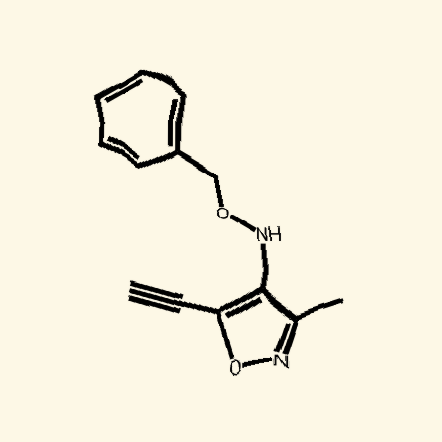 C#Cc1onc(C)c1NOCc1ccccc1